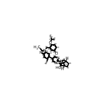 Cc1nc2cc(F)c(-c3cnc(N4C[C@H]5CC[C@@H](C4)[C@@H]5C(=O)O)nc3)cc2n1Cc1cc(Cl)ccc1OC(F)F